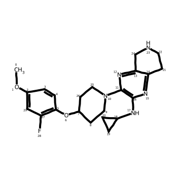 COc1ccc(OC2CCN(c3nc4c(nc3NC3CC3)CCNC4)CC2)c(F)c1